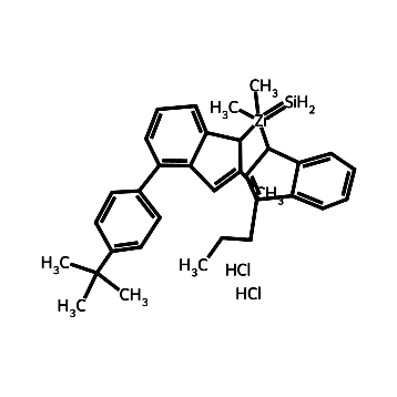 CCCC1=C[CH]([Zr]([CH3])([CH3])(=[SiH2])[CH]2C(C)=Cc3c(-c4ccc(C(C)(C)C)cc4)cccc32)c2ccccc21.Cl.Cl